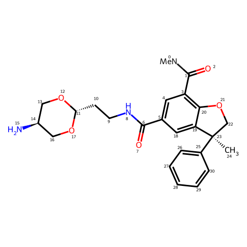 CNC(=O)c1cc(C(=O)NCC[C@H]2OC[C@H](N)CO2)cc2c1OC[C@@]2(C)c1ccccc1